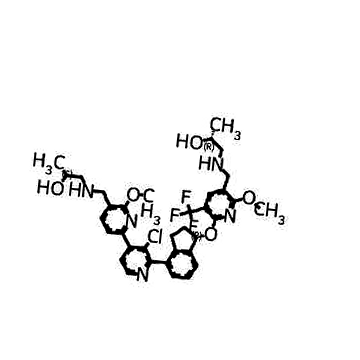 COc1nc(-c2ccnc(-c3cccc4c3CC[C@H]4Oc3nc(OC)c(CNC[C@@H](C)O)cc3C(F)(F)F)c2Cl)ccc1CNC[C@H](C)O